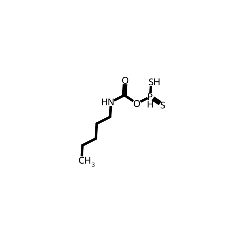 CCCCCNC(=O)O[PH](=S)S